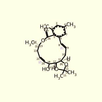 Cc1cc(C)c2c(c1)/C=C/C[C@H]1OC(C)(C)O[C@H]1C(O)/C=C\C[C@H](C)OC2=O